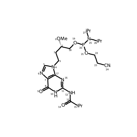 CO[C@@H](CCn1cnc2c(=O)[nH]c(NC(=O)C(C)C)nc21)COP(OCCC#N)N(C(C)C)C(C)C